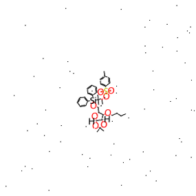 CCCCO[C@H]1[C@H]2OC(C)(C)O[C@H]2O[C@@H]1[C@@H](CCOS(=O)(=O)c1ccc(C)cc1)O[Si](c1ccccc1)(c1ccccc1)C(C)(C)C